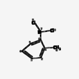 Cc1cccc[c]1[Bi]([Cl])[Cl]